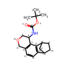 CC(C)(C)OC(=O)NC1COCc2ccc3c(c21)C1CCC3C1